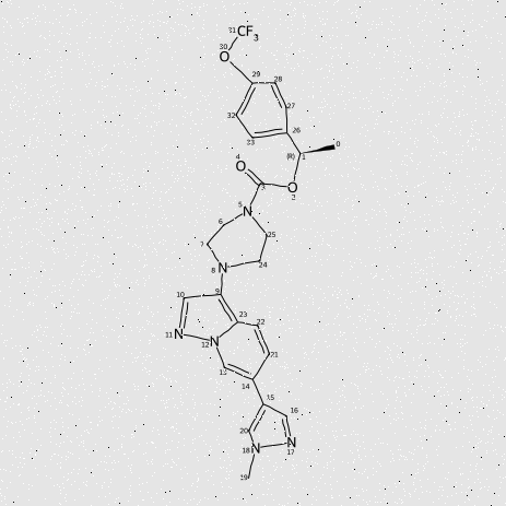 C[C@@H](OC(=O)N1CCN(c2cnn3cc(-c4cnn(C)c4)ccc23)CC1)c1ccc(OC(F)(F)F)cc1